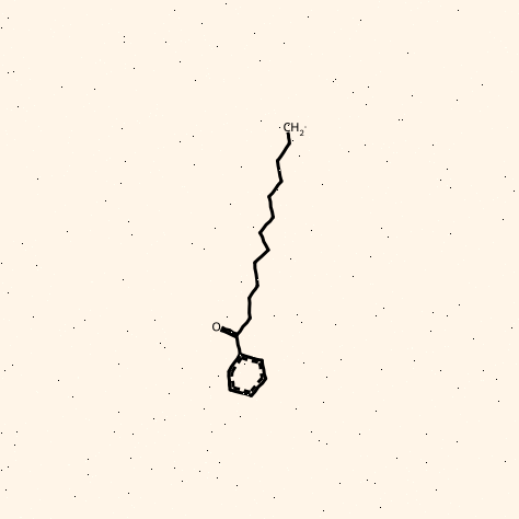 [CH2]CCCCCCCCCCCC(=O)c1ccccc1